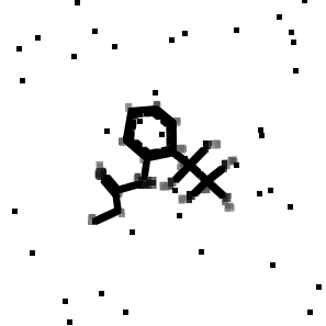 [CH2]CC(=O)Nc1ccccc1C(F)(F)C(F)(F)F